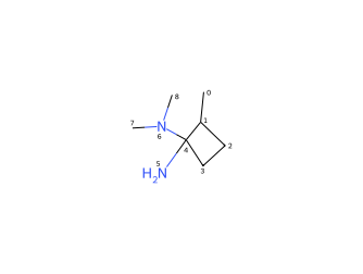 CC1CCC1(N)N(C)C